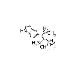 C[SiH2]C([SiH2]C)=C([SiH2]C)c1ccc2[nH]ccc2c1